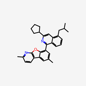 Cc1cc(-c2nc(C3CCCC3)cc3c(CC(C)C)cccc23)c2oc3nc(C)ccc3c2c1